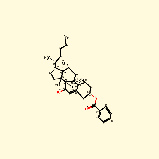 CC(C)CCC[C@@H](C)[C@H]1CC[C@H]2[C@@H]3C(O)C=C4C[C@@H](OC(=O)c5ccccc5)CC[C@]4(C)[C@H]3CC[C@]12C